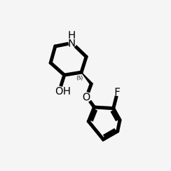 OC1CCNC[C@H]1COc1ccccc1F